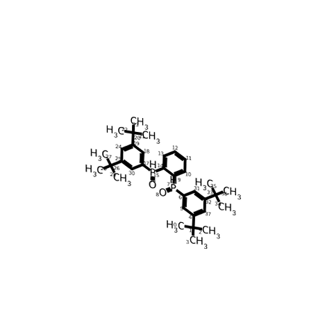 CC(C)(C)c1cc([PH](=O)c2ccccc2[PH](=O)c2cc(C(C)(C)C)cc(C(C)(C)C)c2)cc(C(C)(C)C)c1